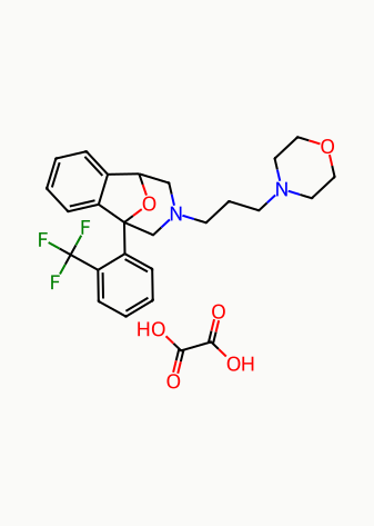 FC(F)(F)c1ccccc1C12CN(CCCN3CCOCC3)CC(O1)c1ccccc12.O=C(O)C(=O)O